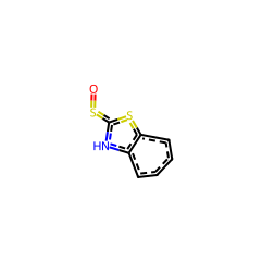 O=S=c1[nH]c2ccccc2s1